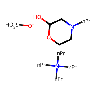 CCCN1CCOC(O)C1.CCC[N+](CCC)(CCC)CCC.O=S(=O)([O-])O